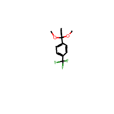 COC(C)(OC)c1ccc(C(F)(F)F)cc1